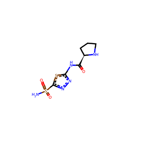 NS(=O)(=O)c1nnc(NC(=O)[C@H]2CCCN2)s1